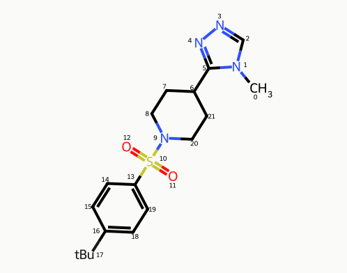 Cn1cnnc1C1CCN(S(=O)(=O)c2ccc(C(C)(C)C)cc2)CC1